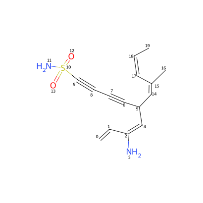 C=C/C(N)=C\C(C#CC#CS(N)(=O)=O)/C=C(C)\C=C/C